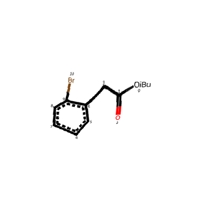 CC(C)COC(=O)Cc1ccccc1Br